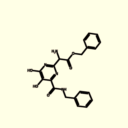 NC(C(=O)OCc1ccccc1)c1nc(O)c(O)c(C(=O)NCc2ccccc2)n1